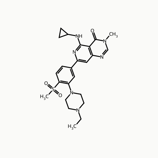 CCN1CCN(c2cc(-c3cc4ncn(C)c(=O)c4c(NC4CC4)n3)ccc2S(C)(=O)=O)CC1